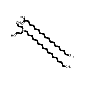 CCCCCCCCCCCCCCCCCC(=O)O.CCCCCCCCCCCCCCCCCN(CCO)CCO